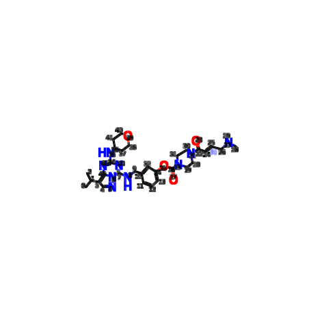 CC(C)c1cnn2c(NCc3cccc(OC(=O)N4CCN(C(=O)/C=C/CN(C)C)CC4)c3)nc(NC3CCOCC3)nc12